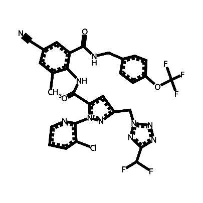 Cc1cc(C#N)cc(C(=O)NCc2ccc(OC(F)(F)F)cc2)c1NC(=O)c1cc(Cn2nnc(C(F)F)n2)nn1-c1ncccc1Cl